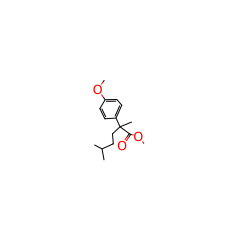 COC(=O)C(C)(CCC(C)C)c1ccc(OC)cc1